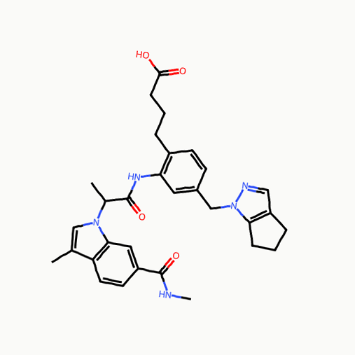 CNC(=O)c1ccc2c(C)cn(C(C)C(=O)Nc3cc(Cn4ncc5c4CCC5)ccc3CCCC(=O)O)c2c1